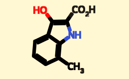 Cc1cccc2c(O)c(C(=O)O)[nH]c12